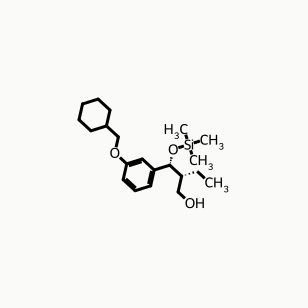 CC[C@H](CO)[C@@H](O[Si](C)(C)C)c1cccc(OCC2CCCCC2)c1